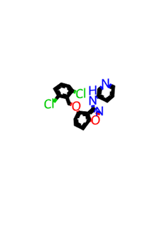 Clc1cccc(Cl)c1COc1cccc2onc(Nc3cccnc3)c12